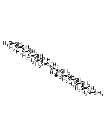 [SiH3][SiH2][SiH2][SiH2][SiH2][SiH2][SiH2][SiH2][SiH2][SiH2][SiH2][SiH2][SiH2][SiH2][SiH2][SiH2][SiH2][SiH2][SiH2][SiH2][SiH2][SiH2][SiH2][SiH2][SiH2][SiH3]